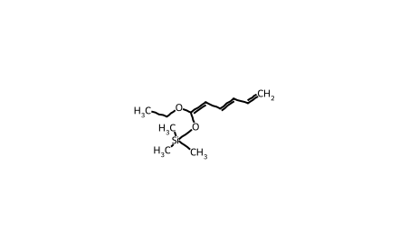 C=CC=CC=C(OCC)O[Si](C)(C)C